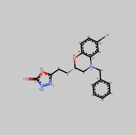 O=c1[nH]nc(CC[C@H]2CN(Cc3ccccc3)c3cc(I)ccc3O2)o1